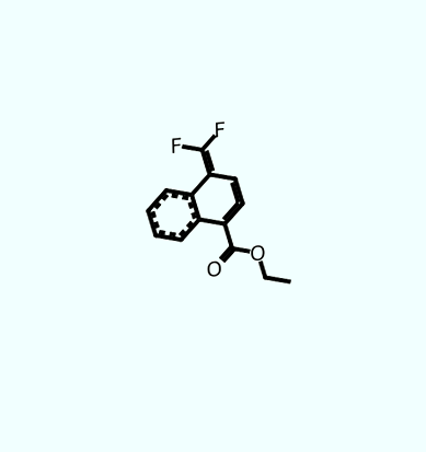 CCOC(=O)C1=C=CC(=C(F)F)c2ccccc21